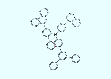 c1ccc(-c2cc(-c3ccccc3)cc(-c3ccc(N(c4ccc(-c5cccc6ccccc56)cc4)c4cc(-c5cc6ccccc6c6ccccc56)ccc4-c4ccccc4)cc3)c2)cc1